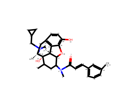 CC1CC(N(C)C(=O)/C=C/c2cccc(C(F)(F)F)c2)C2Oc3c(O)ccc4c3[C@@]23CCN(CC2CC2)[C@H](C4)[C@]13O